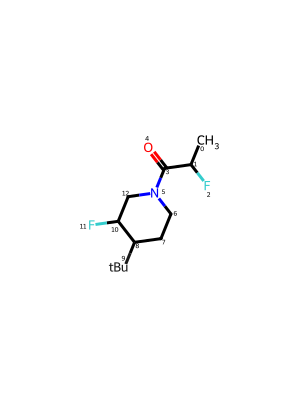 CC(F)C(=O)N1CCC(C(C)(C)C)C(F)C1